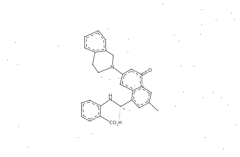 Cc1cc([C@H](C)Nc2ccccc2C(=O)O)c2cc(N3CCc4ccccc4C3)cc(=O)n2c1